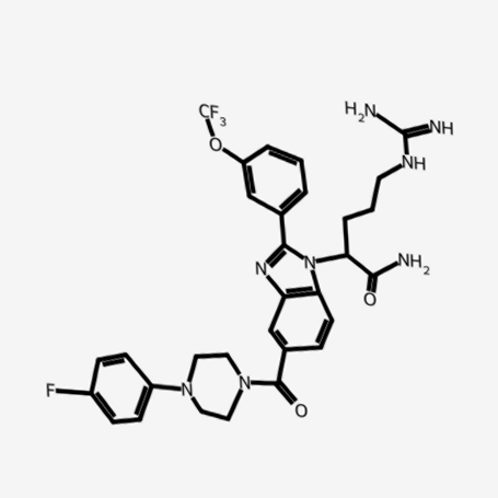 N=C(N)NCCCC(C(N)=O)n1c(-c2cccc(OC(F)(F)F)c2)nc2cc(C(=O)N3CCN(c4ccc(F)cc4)CC3)ccc21